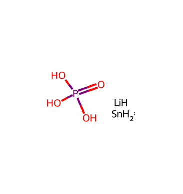 O=P(O)(O)O.[LiH].[SnH2]